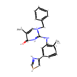 COc1cn(Cc2ccccc2)c(Nc2cc(-c3cscn3)ccc2C)nc1=O